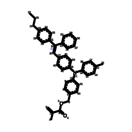 C=C(C)C(=O)OCc1ccc(N(c2ccc(C)cc2)c2ccc(/C=C(\c3ccccc3)c3ccc(CCC)cc3)cc2)cc1